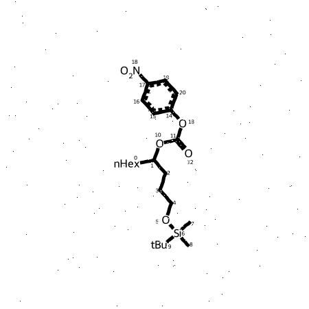 CCCCCCC(CCCO[Si](C)(C)C(C)(C)C)OC(=O)Oc1ccc([N+](=O)[O-])cc1